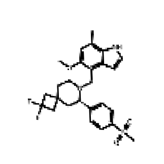 COc1cc(C)c2[nH]ccc2c1CN1CCC2(C[C@@H]1c1ccc(S(C)(=O)=O)cc1)CC(F)(F)C2